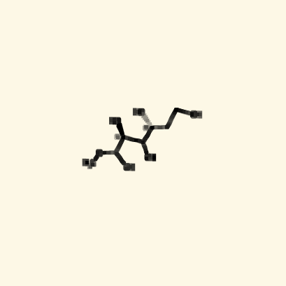 COC(O)[C@@H](O)C(O)[C@H](O)CCO